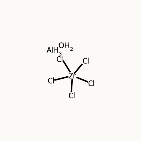 O.[AlH3].[Cl][Zr]([Cl])([Cl])([Cl])[Cl]